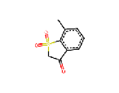 Cc1cccc2c1S(=O)(=O)CC2=O